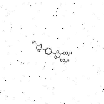 CC(C)[C@H]1COC(c2ccc(C3O[C@@H](C(=O)O)[C@H](C(=O)O)O3)cc2)=N1